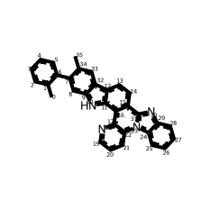 Cc1ccccc1-c1cc2[nH]c3c(ccc4c3c3ncccc3n3c5ccccc5nc43)c2cc1C